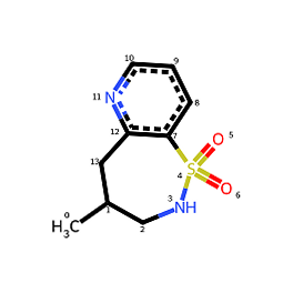 CC1CNS(=O)(=O)c2cccnc2C1